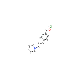 ClOCc1ccc(CCCN2CCCCC2)cc1